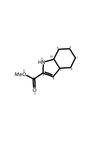 COC(=O)C1=CC2CCCCC2N1